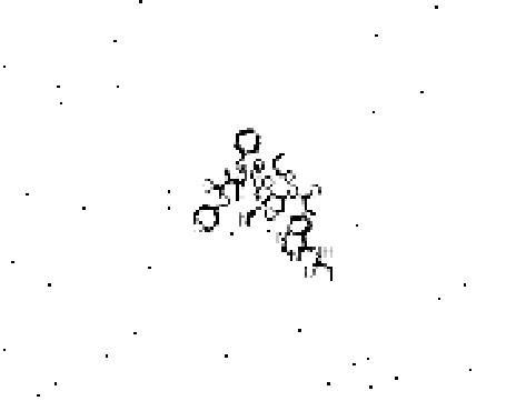 CCC(=O)Nc1ncnn2c([C@@H]3O[C@](C#N)(COP(=O)(NC(C)C(=O)OC4CCOCC4)Oc4ccccc4)[C@@H](OC(=O)CC)[C@H]3OC(=O)CC)ccc12